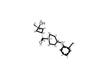 Cc1ccccc1OC1CCN(C(=O)[C@H]2C[C@@](C)(O)C2)CC1